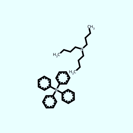 CCCCN(CCCC)CCCC.c1ccc([B-](c2ccccc2)(c2ccccc2)c2ccccc2)cc1